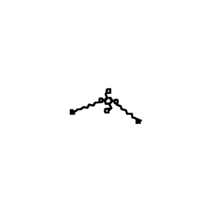 ClCc1cc(OCCCCCCCCBr)c(CCl)cc1OCCCCCCCCBr